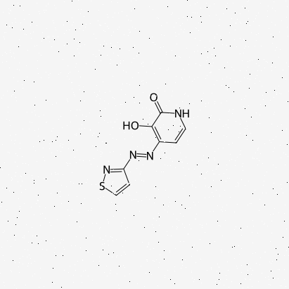 O=c1[nH]ccc(N=Nc2ccsn2)c1O